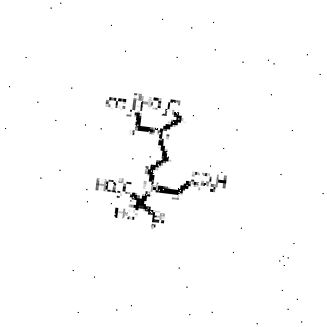 CCC(O)(C(=O)O)N(CCN(CC(=O)O)CC(=O)O)CC(=O)O